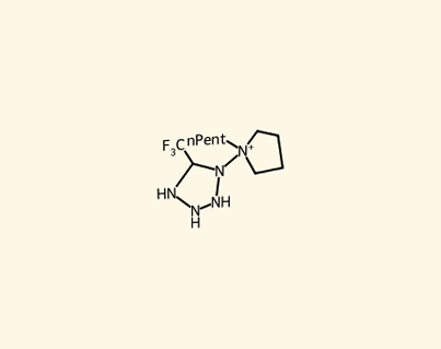 CCCCC[N+]1(N2NNNC2C(F)(F)F)CCCC1